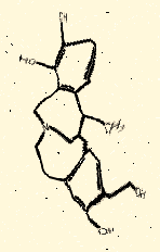 CC1c2ccc(O)c(O)c2CN2CCc3cc(O)c(O)cc3C12